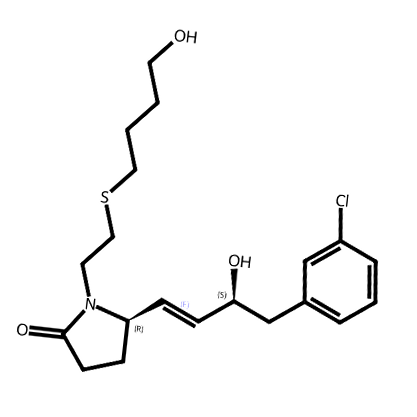 O=C1CC[C@H](/C=C/[C@@H](O)Cc2cccc(Cl)c2)N1CCSCCCCO